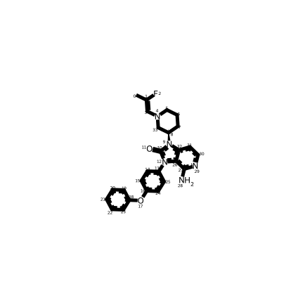 CC(F)=CN1CCC[C@@H](n2c(=O)n(-c3ccc(Oc4ccccc4)cc3)c3c(N)nccc32)C1